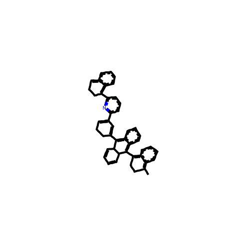 CC1=c2ccccc2=C(C2=c3ccccc3=C(C3=CC(c4cccc(C5=c6ccccc6=CCC5)n4)=CCC3)C3C=CC=CC23)CC1